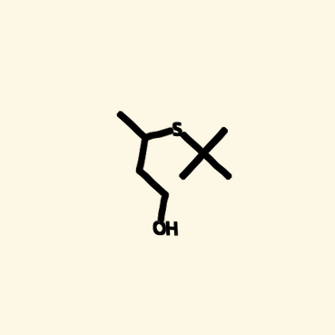 CC(CCO)SC(C)(C)C